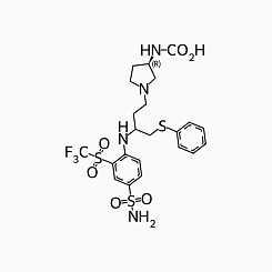 NS(=O)(=O)c1ccc(NC(CCN2CC[C@@H](NC(=O)O)C2)CSc2ccccc2)c(S(=O)(=O)C(F)(F)F)c1